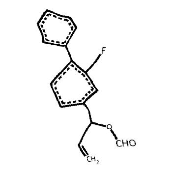 C=CC(OC=O)c1ccc(-c2ccccc2)c(F)c1